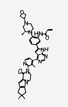 C=CC(=O)Nc1cc(-c2cc3c(-c4ccnc(N5CCn6c(cc7c6CC(C)(C)C7)C5=O)c4C)ncnc3[nH]2)ccc1N1CCN(C2COC2)C[C@@H]1C